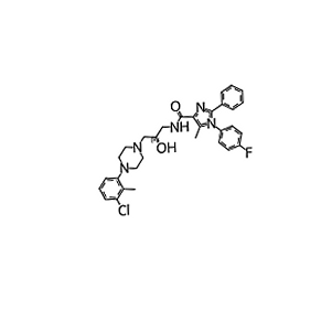 Cc1c(Cl)cccc1N1CCN(C[C@H](O)CNC(=O)c2nc(-c3ccccc3)n(-c3ccc(F)cc3)c2C)CC1